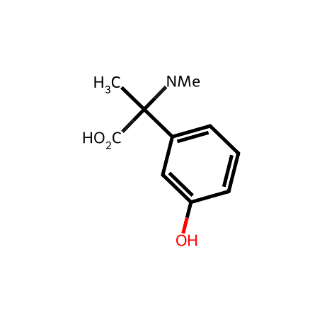 CNC(C)(C(=O)O)c1cccc(O)c1